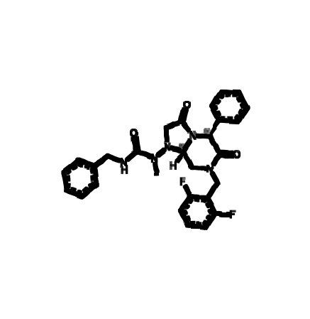 CN(C(=O)NCc1ccccc1)N1CC(=O)N2[C@@H](c3ccccc3)C(=O)N(Cc3c(F)cccc3F)C[C@@H]21